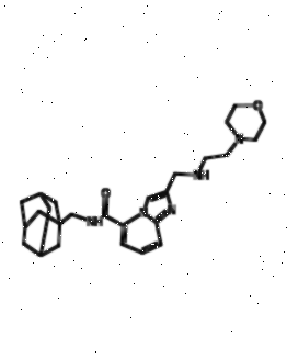 O=C(NCC12CC3CC(CC(C3)C1)C2)c1cccc2nc(CNCCN3CCOCC3)cn12